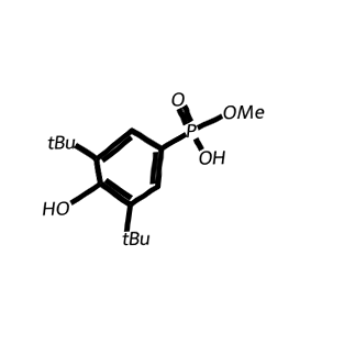 COP(=O)(O)c1cc(C(C)(C)C)c(O)c(C(C)(C)C)c1